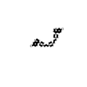 Clc1ccc2c(N3CCN(CCCN4CCN(CCCN5CCN(c6ccnc7cc(Cl)ccc67)CC5)CC4)CC3)ccnc2c1